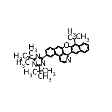 CC(C)c1c2c(cc3ccccc13)-c1nccc3c1c(cc1ccc(-c4nc(C(C)(C)C)nc(C(C)(C)C)n4)cc13)O2